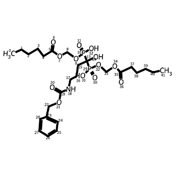 CCCCCC(=O)OCOP(=O)(O)C(O)(CCCNC(=O)OCc1ccccc1)P(=O)(O)OCOC(=O)CCCCC